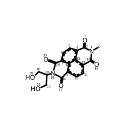 CN1C(=O)c2ccc3c4c(ccc(c24)C1=O)C(=O)N(C(CO)CO)C3=O